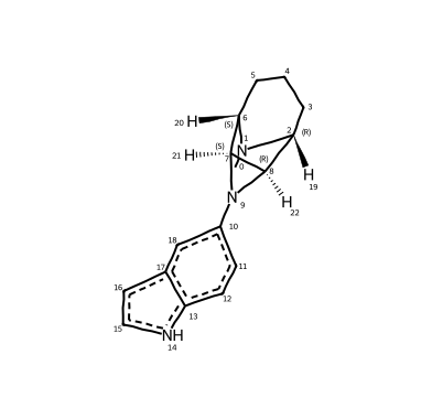 CN1[C@@H]2CCC[C@H]1[C@H]1[C@@H]2N1c1ccc2[nH]ccc2c1